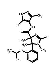 Cc1n[nH]c(Cl)c1NC(=O)C1(C(=O)O)N=C(F)N(C)C1(C)c1ccccc1OC(C)C(F)(F)F